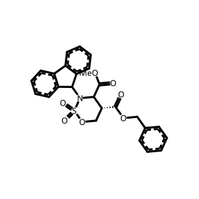 COC(=O)C1[C@H](C(=O)OCc2ccccc2)COS(=O)(=O)N1C1c2ccccc2-c2ccccc21